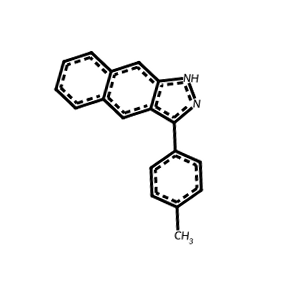 Cc1ccc(-c2n[nH]c3cc4ccccc4cc23)cc1